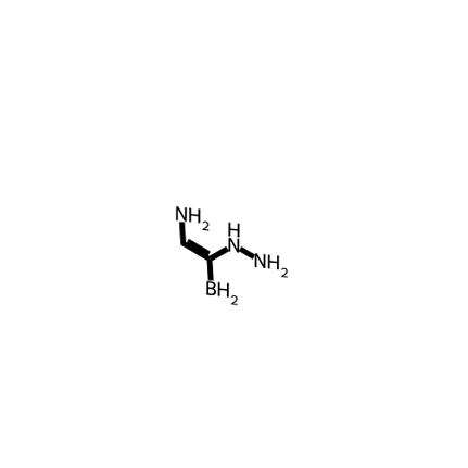 B/C(=C/N)NN